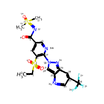 CCS(=O)(=O)c1cc(C(=O)N=S(C)(C)=O)cnc1-n1cc2ncc(C(F)(F)F)cc2n1